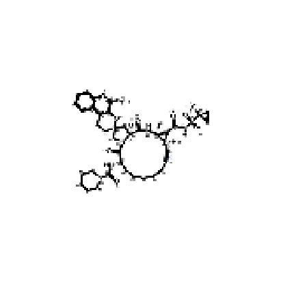 Cc1nc2ccccc2c2c1O[C@]1(CC2)C[C@H]2C(=O)N[C@@]3(I)C(C(=O)NS(=O)(=O)C4(C)CC4)[C@H]3/C=C\CCCCC[C@H](NC(=O)N3CCCCC3)C(=O)N2C1